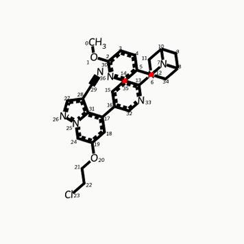 COc1ccc(CN2C3CC2CN(c2ccc(-c4cc(OCCCl)cn5ncc(C#N)c45)cn2)C3)cn1